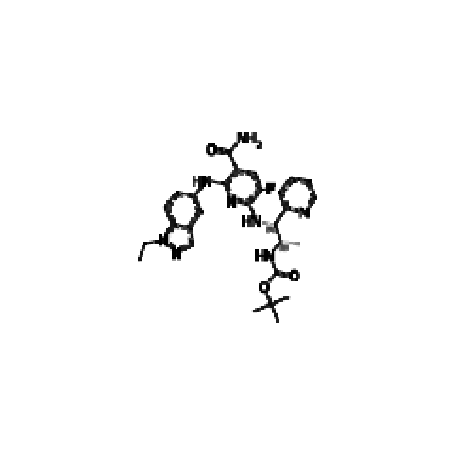 CCn1ncc2cc(Nc3nc(N[C@H](c4ccccn4)[C@H](C)NC(=O)OC(C)(C)C)c(F)cc3C(N)=O)ccc21